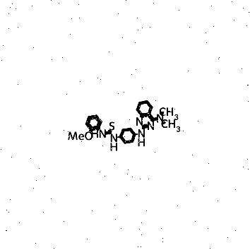 COc1ccccc1NC(=S)N[C@H]1CC[C@@H](Nc2nc3c(c(N(C)C)n2)CCCC3)CC1